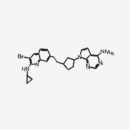 CNc1ncnc2c1ccn2C1CCC(CCc2ccc3cc(Br)c(NC4CC4)nc3c2)C1